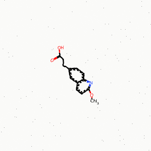 COc1ccc2cc(CCC(=O)O)ccc2n1